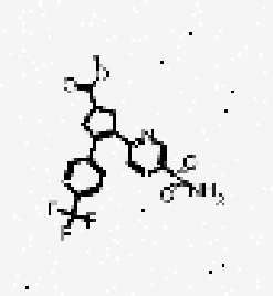 COC(=O)C1CC(c2ccc(C(F)(F)F)cc2)=C(c2ccc(S(N)(=O)=O)cn2)C1